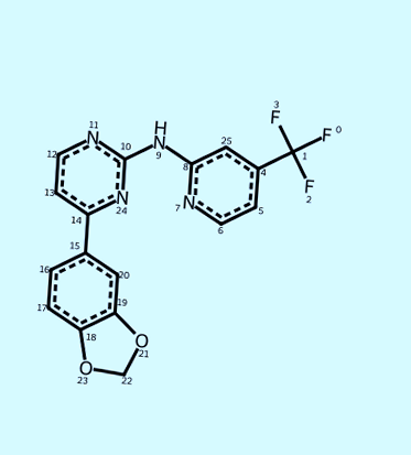 FC(F)(F)c1ccnc(Nc2nccc(-c3ccc4c(c3)OCO4)n2)c1